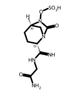 N=C(NCC(N)=O)[C@@H]1CC[C@@H]2CN1C(=O)N2OS(=O)(=O)O